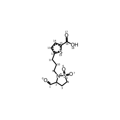 O=CC1CCS(=O)(=O)N1CCCc1ccc(C(=O)O)s1